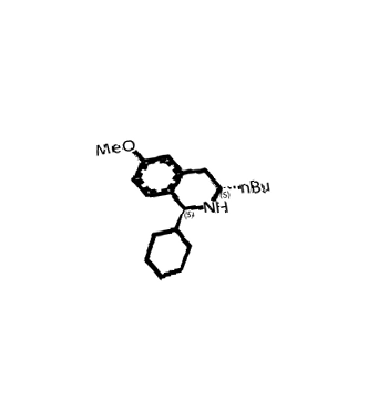 CCCC[C@H]1Cc2cc(OC)ccc2[C@H](C2CCCCC2)N1